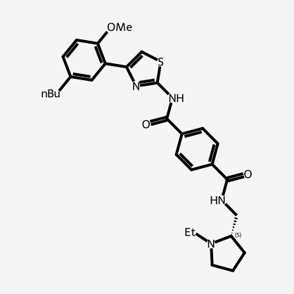 CCCCc1ccc(OC)c(-c2csc(NC(=O)c3ccc(C(=O)NC[C@@H]4CCCN4CC)cc3)n2)c1